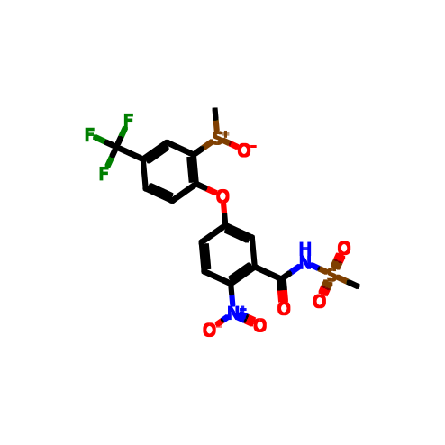 C[S+]([O-])c1cc(C(F)(F)F)ccc1Oc1ccc([N+](=O)[O-])c(C(=O)NS(C)(=O)=O)c1